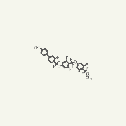 CCCc1ccc(-c2ccc(C(F)(F)Oc3cc(F)c(C(F)(F)Oc4cc(F)c(C(F)(F)OC(F)(F)F)c(F)c4)c(F)c3)c(F)c2)cc1